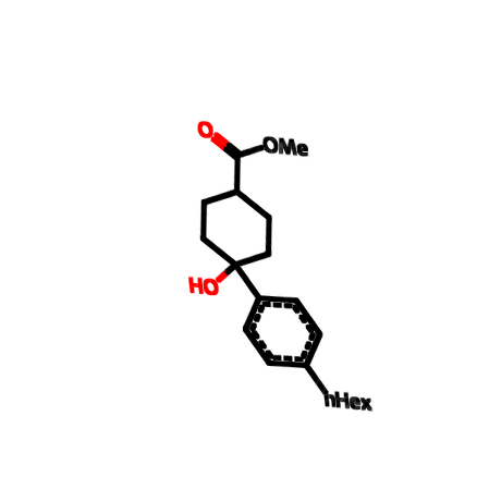 CCCCCCc1ccc(C2(O)CCC(C(=O)OC)CC2)cc1